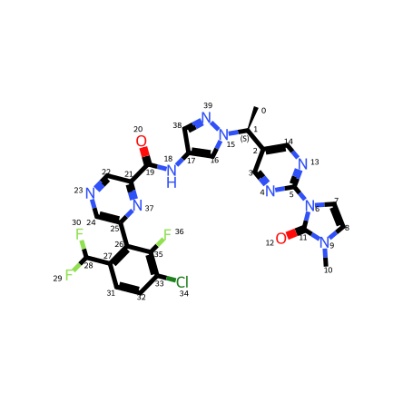 C[C@@H](c1cnc(-n2ccn(C)c2=O)nc1)n1cc(NC(=O)c2cncc(-c3c(C(F)F)ccc(Cl)c3F)n2)cn1